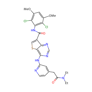 CCN(CC)C(=O)Cc1ccnc(Nc2ncnc3c(C(=O)Nc4c(Cl)c(OC)cc(OC)c4Cl)csc23)c1